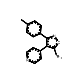 Cc1ccc(-c2noc(N)c2-c2ccncc2)cc1